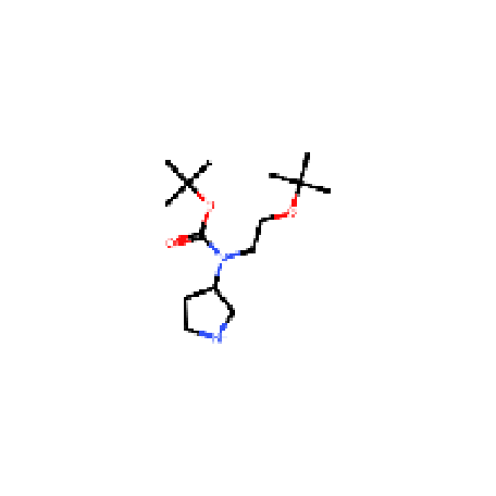 CC(C)(C)OCCN(C(=O)OC(C)(C)C)C1CCNC1